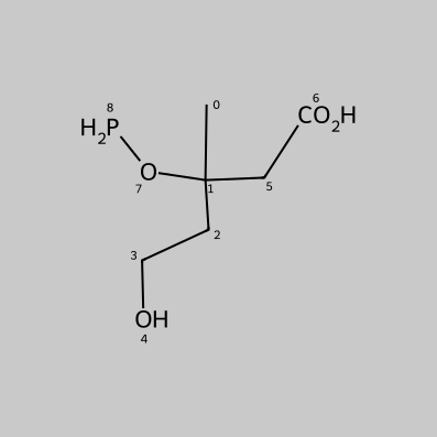 CC(CCO)(CC(=O)O)OP